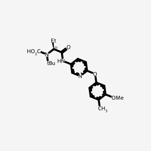 CC[C@@H](C(=O)Nc1ccc(Oc2ccc(C)c(OC)c2)nc1)N(C(=O)O)C(C)(C)C